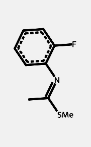 CSC(C)=Nc1ccccc1F